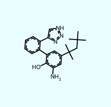 CC(C)(C)CC(C)(C)c1cc(N)c(O)c(-c2ccccc2-c2c[nH]nn2)c1